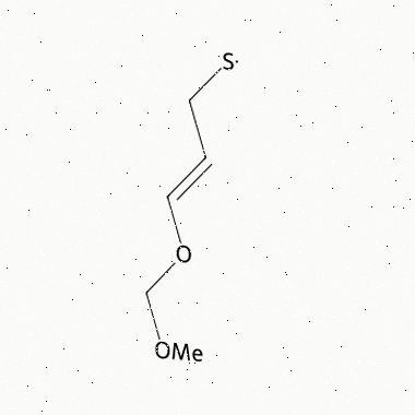 COCOC=CC[S]